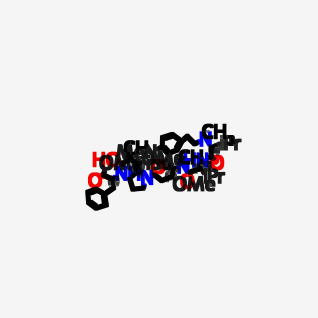 CC[C@H](C)[C@@H]([C@@H](CC(=O)N1CCC[C@H]1[C@H](OC)[C@@H](C)C(O)N[C@@H](Cc1ccccc1)C(=O)OC)OC)N(C)C(=O)[C@@H](NC(=O)[C@H](C(C)C)N(C)CCc1ccc(NC)cc1)C(C)C